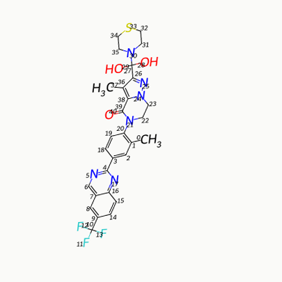 Cc1cc(-c2ncc3cc(C(F)(F)F)ccc3n2)ccc1N1CCn2nc(C(O)(O)N3CCSCC3)c(C)c2C1=O